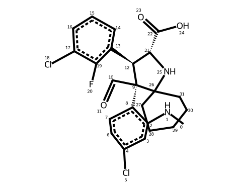 CNc1cc(Cl)ccc1[C@]1(C=O)[C@@H](c2cccc(Cl)c2F)[C@H](C(=O)O)NC12CCCCC2